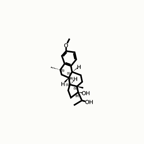 COc1ccc2c(c1)[C@@H](C)C[C@@H]1[C@@H]2CC[C@@]2(C)[C@H]1CC[C@]2(O)C(C)O